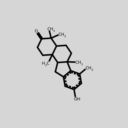 Cc1cc(O)cc2c1C1(C)CCC3C(C)(C)C(=O)CCC3(C)C1C2